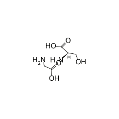 NCC(=O)O.N[C@H](CO)C(=O)O